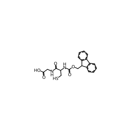 O=C(O)CNC(=O)C(CS)NC(=O)OCC1c2ccccc2-c2ccccc21